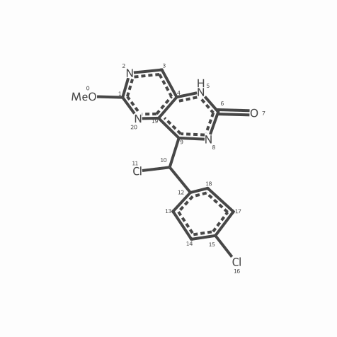 COc1ncc2[nH]c(=O)nc(C(Cl)c3ccc(Cl)cc3)c2n1